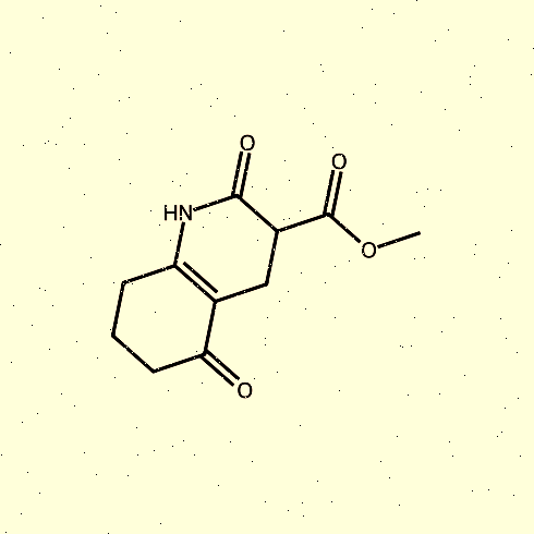 COC(=O)C1CC2=C(CCCC2=O)NC1=O